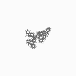 CC1(C)c2ccccc2-c2ccc(N(c3ccc4c(c3)-c3ccccc3Oc3ccccc3-4)c3ccc4c(c3)-c3ccccc3-c3ccccc3C43c4ccccc4-c4cc5c(cc43)sc3ccccc35)cc21